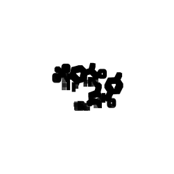 Cc1ccc(C(=O)n2nc(C(C)(C)C)cc2CNC(=O)C(C)c2ccc(NS(C)(=O)=O)c(F)c2)cc1